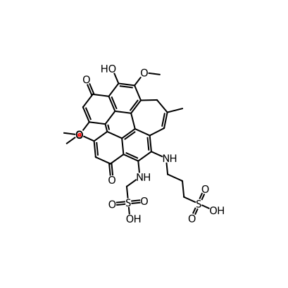 COc1c(O)c2c(=O)cc(OC)c3c4c(OC)cc(=O)c5c(NCS(=O)(=O)O)c(NCCCS(=O)(=O)O)c6c(c(c1CC(C)=C6)c23)c54